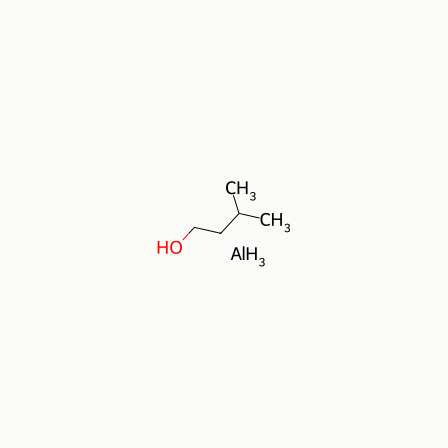 CC(C)CCO.[AlH3]